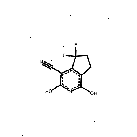 N#Cc1c(O)nc(O)c2c1C(F)(F)CC2